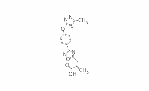 C=C(Cc1nc(-c2ccc(Oc3nnc(C)s3)cc2)no1)C(=O)O